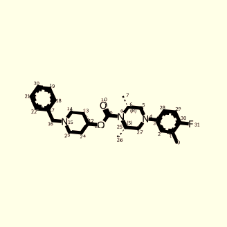 Cc1cc(N2C[C@@H](C)N(C(=O)OC3CCN(Cc4ccccc4)CC3)[C@@H](C)C2)ccc1F